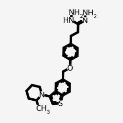 CC1CCCCN1c1csc2ccc(COc3ccc(CC/C(=N/N)NN)cc3)cc12